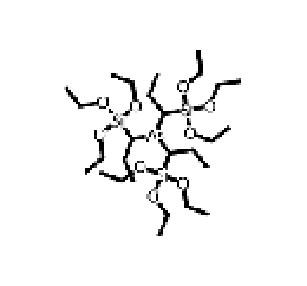 CCO[Si](OCC)(OCC)C(CC)[As](C(CC)[Si](OCC)(OCC)OCC)C(CC)[Si](OCC)(OCC)OCC